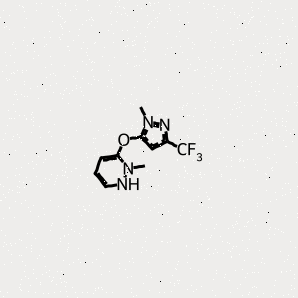 CN1NC=CC=C1Oc1cc(C(F)(F)F)nn1C